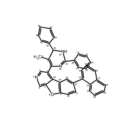 CC1=C(c2cncc3oc4ccc(-c5cccc6ccccc56)cc4c23)N=C(c2ccccc2)NC1c1ccccc1